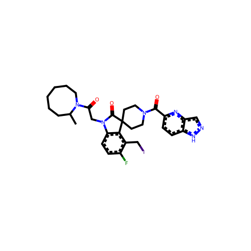 CC1CCCCCCN1C(=O)CN1C(=O)C2(CCN(C(=O)c3ccc4[nH]ncc4n3)CC2)c2c1ccc(F)c2CI